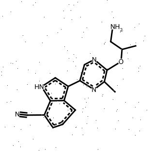 Cc1nc(-c2c[nH]c3c(C#N)cccc23)cnc1OC(C)CN